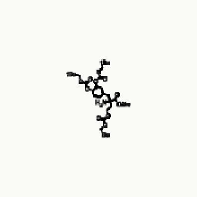 CC[C@H](C)COC(=O)OCCC(N)(Cc1ccc(OC(=O)OCC(C)(C)C)c(OC(=O)OCC(C)(C)C)c1)C(=O)OC